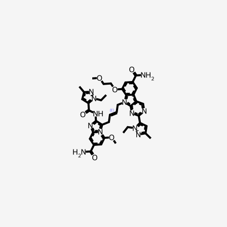 CCn1nc(C)cc1C(=O)Nc1nc2cc(C(N)=O)cc(OC)n2c1C/C=C/Cn1c2nc(-c3cc(C)nn3CC)ncc2c2cc(C(N)=O)cc(OCCOC)c21